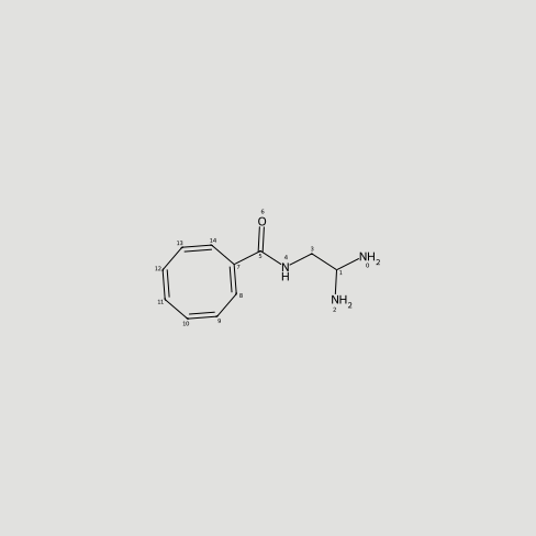 NC(N)CNC(=O)C1=C/C=C\C=C/C=C\1